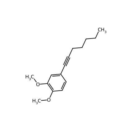 CCCCCC#Cc1ccc(OC)c(OC)c1